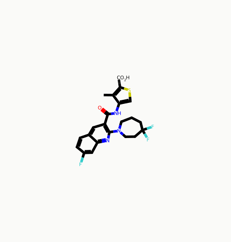 Cc1c(NC(=O)c2cc3ccc(F)cc3nc2N2CCCC(F)(F)CC2)csc1C(=O)O